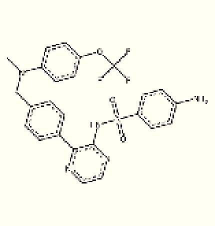 CN(Cc1ccc(-c2nccnc2NS(=O)(=O)c2ccc(N)cc2)cc1)c1ccc(OC(F)(F)F)cc1